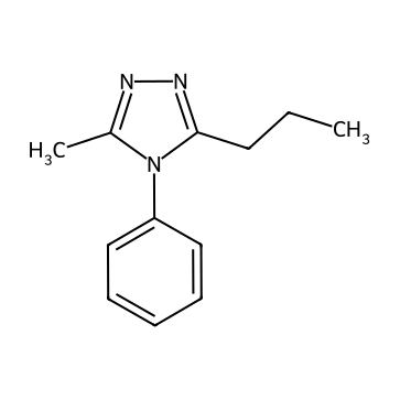 CCCc1nnc(C)n1-c1ccccc1